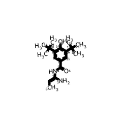 CC=C(N)NC(=O)c1cc(C(C)(C)C)c(O)c(C(C)(C)C)c1